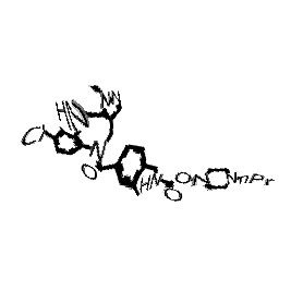 CCCN1CCN(OC(=O)NCc2ccc(C(=O)N3Cc4cnn(C)c4Nc4cc(Cl)ccc43)cc2C)CC1